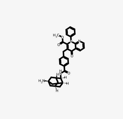 COC(=O)c1c(Cc2ccc(C(=O)N[C@@H]3[C@@H]4C[C@H]5C[C@H]3C[C@](N)(C5)C4)cc2)c(=O)c2cccnc2n1-c1ccccc1